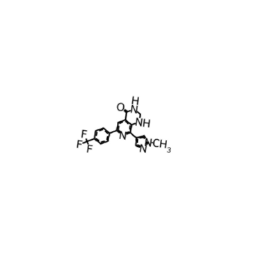 Cn1cc(-c2nc(-c3ccc(C(F)(F)F)cc3)cc3c2NCNC3=O)cn1